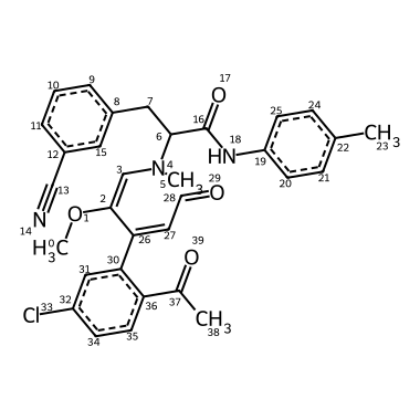 COC(=C/N(C)C(Cc1cccc(C#N)c1)C(=O)Nc1ccc(C)cc1)/C(=C\C=O)c1cc(Cl)ccc1C(C)=O